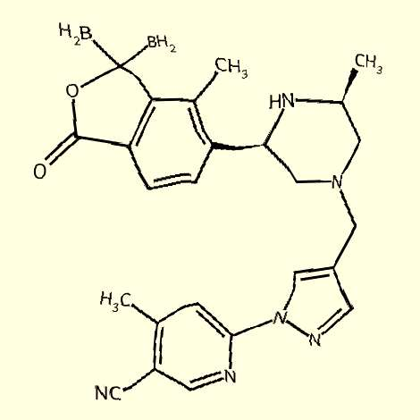 BC1(B)OC(=O)c2ccc([C@@H]3CN(Cc4cnn(-c5cc(C)c(C#N)cn5)c4)C[C@H](C)N3)c(C)c21